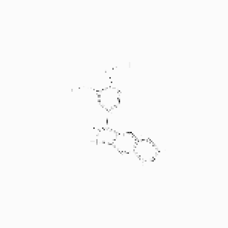 COc1ccc(-c2n[nH]c3cc4ccccc4cc23)cc1OC